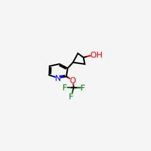 OC1CC(c2cccnc2OC(F)(F)F)C1